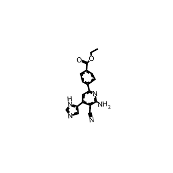 CCOC(=O)c1ccc(-c2cc(-c3cnc[nH]3)c(C#N)c(N)n2)cc1